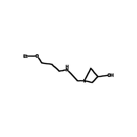 CCOCCCNCN1CC(O)C1